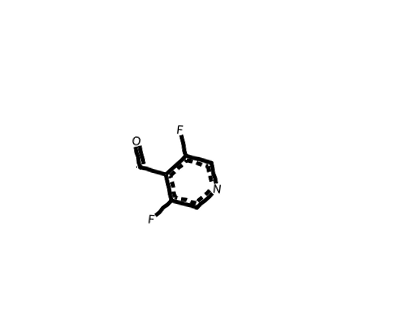 O=[C]c1c(F)cncc1F